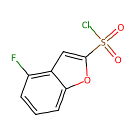 O=S(=O)(Cl)c1cc2c(F)cccc2o1